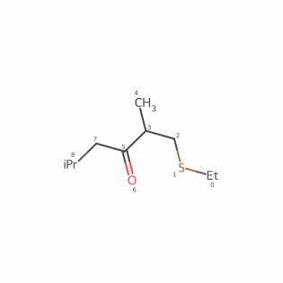 CCSCC(C)C(=O)CC(C)C